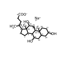 CC(CCC(=O)[O-])C1CCC2C3C(O)CC4CC(O)CCC4(C)C3CC(O)C12C.[Na+]